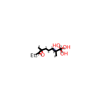 CCC1OC1(C)CC/C=C(\C)C(O)(O)O